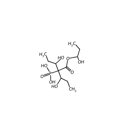 CCC(O)OC(=O)C(C(O)CC)(C(O)CC)P(=O)(O)O